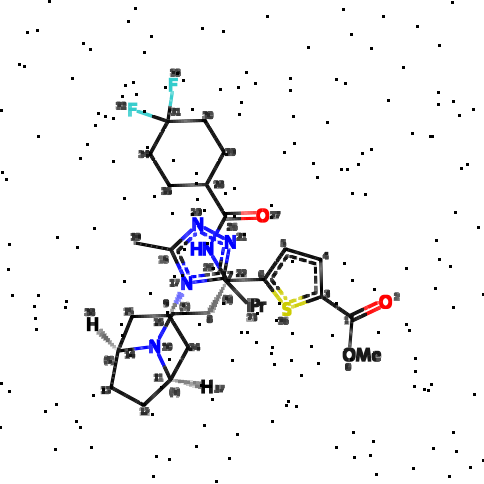 COC(=O)c1ccc([C@H](CCN2[C@@H]3CC[C@H]2C[C@H](n2c(C)nnc2C(C)C)C3)NC(=O)C2CCC(F)(F)CC2)s1